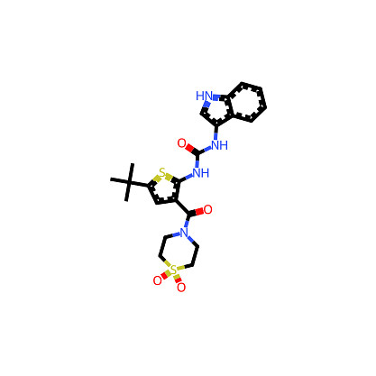 CC(C)(C)c1cc(C(=O)N2CCS(=O)(=O)CC2)c(NC(=O)Nc2c[nH]c3ccccc23)s1